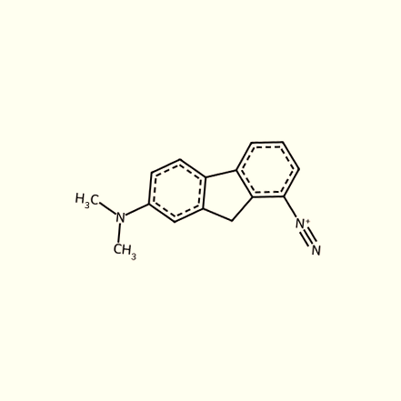 CN(C)c1ccc2c(c1)Cc1c([N+]#N)cccc1-2